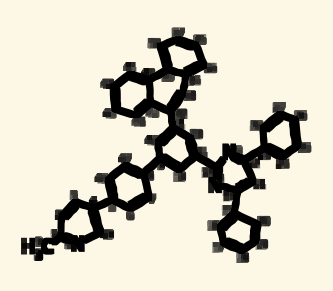 Cc1ccc(-c2ccc(-c3cc(-c4nc(-c5ccccc5)cc(-c5ccccc5)n4)cc(-c4cc5ccccc5c5ccccc45)c3)cc2)cn1